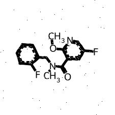 COc1ncc(F)cc1C(=O)N(C)Cc1ccccc1F